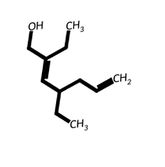 C=CCC(/C=C(\CC)CO)CC